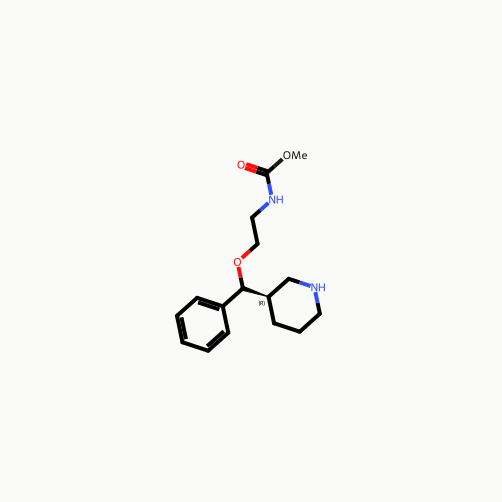 COC(=O)NCCOC(c1ccccc1)[C@@H]1CCCNC1